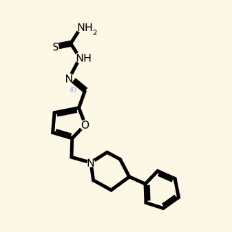 NC(=S)N/N=C/c1ccc(CN2CCC(c3ccccc3)CC2)o1